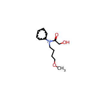 COCCCCN(C(=O)CO)c1ccccc1